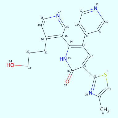 Cc1csc(-c2cc(-c3ccncc3)c(-c3cnccc3CCCO)[nH]c2=O)n1